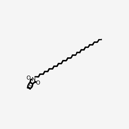 CCCCCCCCCCCCCCCCCCCCCCCCCCCCCCN1C(=O)C2C3C=CC(O3)C2C1=O